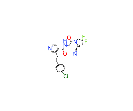 N#C[C@@H]1CC(F)(F)CN1C(=O)CNC(=O)c1ccncc1CCc1ccc(Cl)cc1